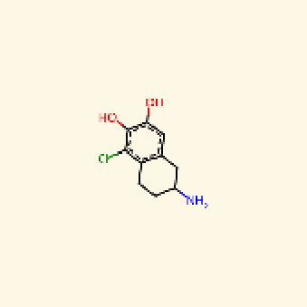 NC1CCc2c(cc(O)c(O)c2Cl)C1